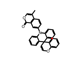 Cc1coc(=O)c2cc(N3c4ccccc4C4(c5ccccc5Oc5ccccc54)c4ccccc43)ccc12